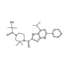 CC(C)c1cc(-c2ccccc2)nn2cc(C(=O)N3CCN(C(=O)C(C)(C)O)CC3(C)C)nc12